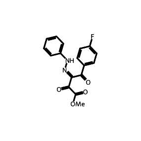 COC(=O)C(=O)C(=NNc1ccccc1)C(=O)c1ccc(F)cc1